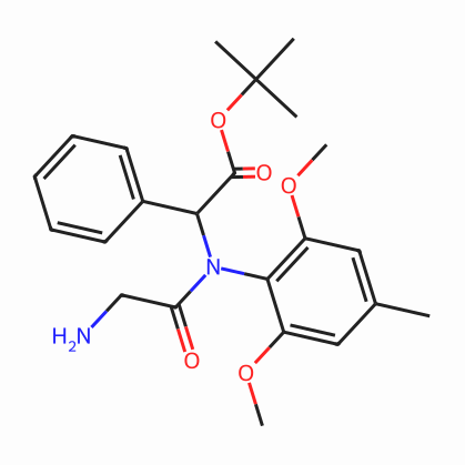 COc1cc(C)cc(OC)c1N(C(=O)CN)C(C(=O)OC(C)(C)C)c1ccccc1